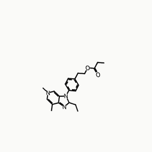 CCC(=O)OCCc1ccc(N2C3=CN(C)C=C(C)C3=NC2CC)cc1